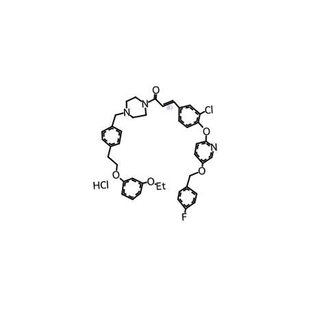 CCOc1cccc(OCCc2ccc(CN3CCN(C(=O)/C=C/c4ccc(Oc5ccc(OCc6ccc(F)cc6)cn5)c(Cl)c4)CC3)cc2)c1.Cl